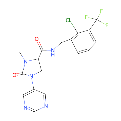 CN1C(=O)N(c2cncnc2)CC1C(=O)NCc1cccc(C(F)(F)F)c1Cl